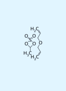 C=CCOCC=C.CC1OS(=O)(=O)O1